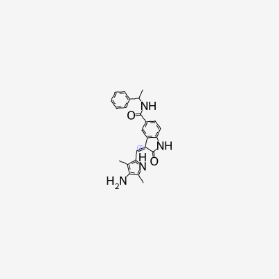 Cc1[nH]c(/C=C2\C(=O)Nc3ccc(C(=O)NC(C)c4ccccc4)cc32)c(C)c1N